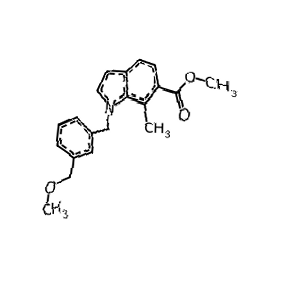 COCc1cccc(Cn2ccc3ccc(C(=O)OC)c(C)c32)c1